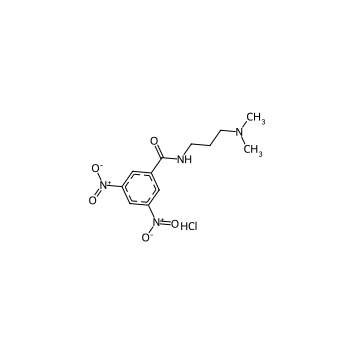 CN(C)CCCNC(=O)c1cc([N+](=O)[O-])cc([N+](=O)[O-])c1.Cl